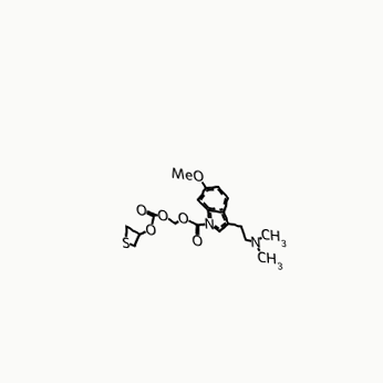 COc1ccc2c(CCN(C)C)cn(C(=O)OCOC(=O)OC3CSC3)c2c1